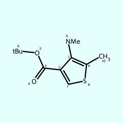 CNc1c(C(=O)OC(C)(C)C)csc1C